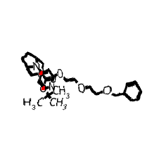 CC(C)(C)OC(=O)N1CC2CCC(C1)N2c1ccnc(OCCOCCOCc2ccccc2)c1